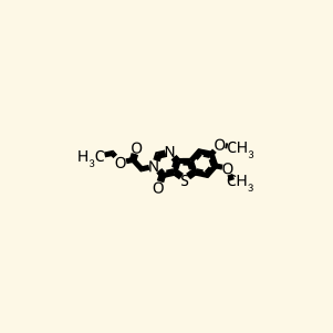 CCOC(=O)Cn1cnc2c(sc3cc(OC)c(OC)cc32)c1=O